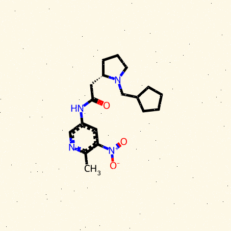 Cc1ncc(NC(=O)C[C@@H]2CCCN2CC2CCCC2)cc1[N+](=O)[O-]